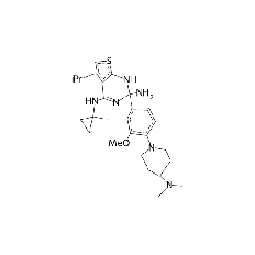 COc1cc(C2(N)N=C(NC3(C)CC3)c3c(C(C)C)csc3N2)ccc1N1CCC(N(C)C)CC1